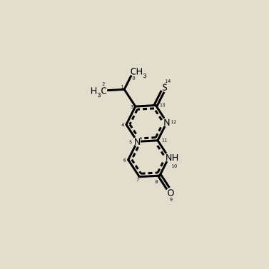 CC(C)c1cn2ccc(=O)[nH]c2nc1=S